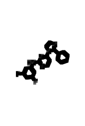 Fc1cc(F)cc(Nc2nccc(-n3ccnc3-c3ccccc3)n2)c1